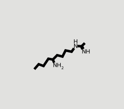 CCCCC(N)CCCCNC(C)=N